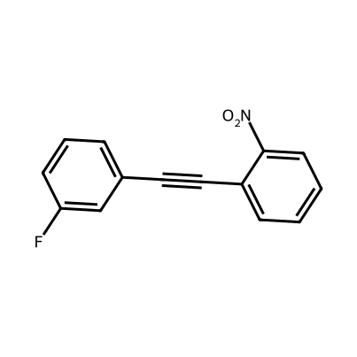 O=[N+]([O-])c1ccccc1C#Cc1cccc(F)c1